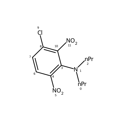 CCCN(CCC)c1c([N+](=O)[O-])ccc(Cl)c1[N+](=O)[O-]